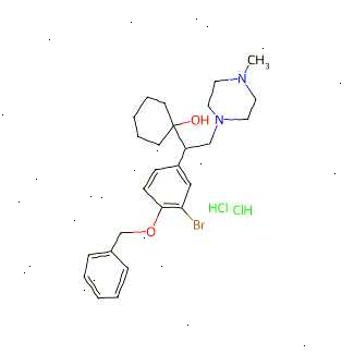 CN1CCN(CC(c2ccc(OCc3ccccc3)c(Br)c2)C2(O)CCCCC2)CC1.Cl.Cl